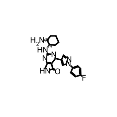 N[C@H]1CCCC[C@H]1Nc1nc2c(c(-c3cnn(-c4ccc(F)cc4)c3)n1)C(=O)NC2